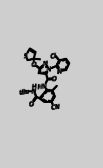 Cc1cc(C#N)cc(C(=O)NC(C)(C)C)c1NC(=O)c1cc(OC2(C)C=CSC2)nn1-c1ncccc1Cl